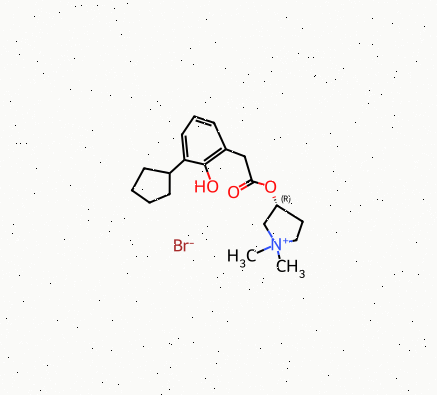 C[N+]1(C)CC[C@@H](OC(=O)Cc2cccc(C3CCCC3)c2O)C1.[Br-]